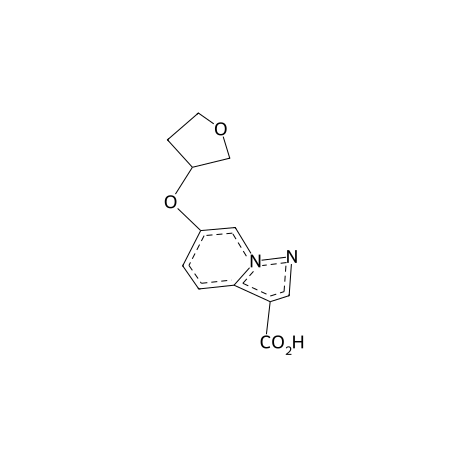 O=C(O)c1cnn2cc(OC3CCOC3)ccc12